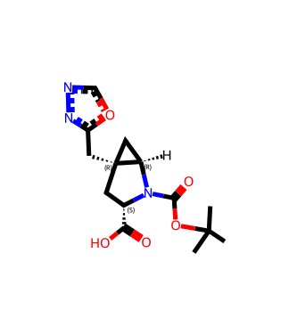 CC(C)(C)OC(=O)N1[C@H](C(=O)O)C[C@@]2(Cc3nnco3)C[C@@H]12